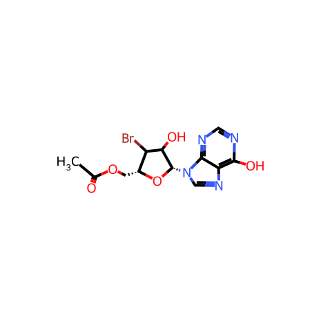 CC(=O)OC[C@H]1O[C@@H](n2cnc3c(O)ncnc32)C(O)C1Br